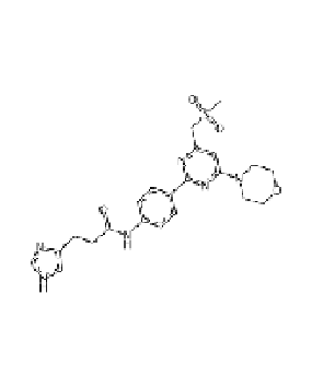 CS(=O)(=O)Cc1cc(N2CCOCC2)nc(-c2ccc(NC(=O)CCc3c[nH]cn3)cc2)n1